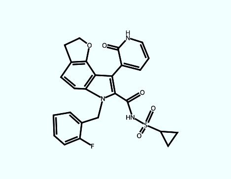 O=C(NS(=O)(=O)C1CC1)c1c(-c2ccc[nH]c2=O)c2c3c(ccc2n1Cc1ccccc1F)CCO3